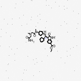 CCOC(=O)c1ccc2c(c1)NC(=O)/C2=C(\Nc1ccc(N(C)C(=O)CN(C)CC(N)=O)cc1)c1ccccc1